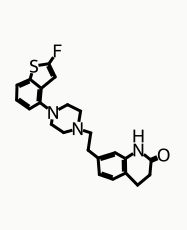 O=C1CCc2ccc(CCN3CCN(c4cccc5sc(F)cc45)CC3)cc2N1